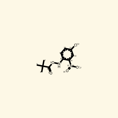 CC(C)(C)C(=O)ONc1ccc(Cl)cc1[N+](=O)[O-]